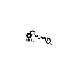 CN1CCN(CCCOCCN2CCCc3ccc(N)cc32)CC1